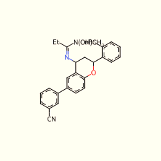 CCCc1ccccc1C1CC(/N=C(/CC)N(C)O)c2cc(-c3cccc(C#N)c3)ccc2O1